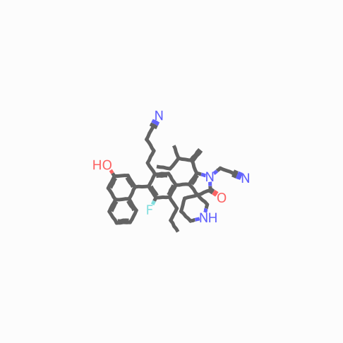 C=C(C1=C(c2cc(CCCC#N)c(-c3cc(O)cc4ccccc34)c(F)c2CCC)C2(CCCNC2)C(=O)N1CC#N)C(C)CC